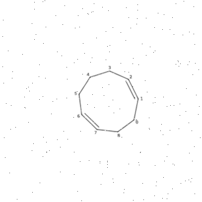 [CH]1C=CCCCC=CC1